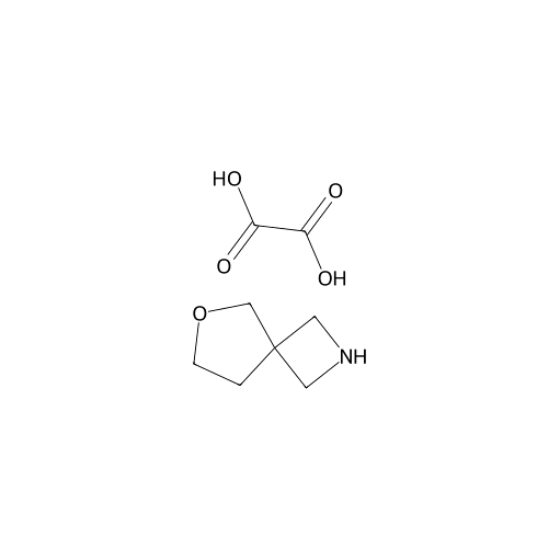 C1CC2(CNC2)CO1.O=C(O)C(=O)O